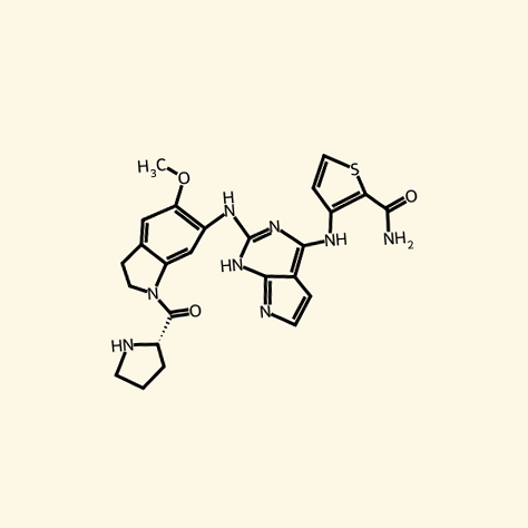 COc1cc2c(cc1Nc1nc(Nc3ccsc3C(N)=O)c3ccnc-3[nH]1)N(C(=O)[C@@H]1CCCN1)CC2